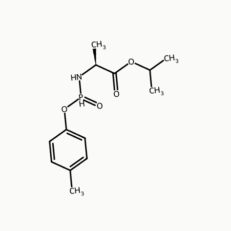 Cc1ccc(O[PH](=O)N[C@@H](C)C(=O)OC(C)C)cc1